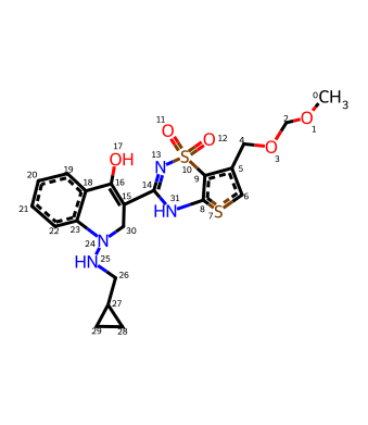 COCOCc1csc2c1S(=O)(=O)N=C(C1=C(O)c3ccccc3N(NCC3CC3)C1)N2